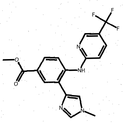 COC(=O)c1ccc(Nc2ccc(C(F)(F)F)cn2)c(-c2cn(C)cn2)c1